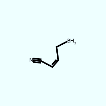 BC/C=C\C#N